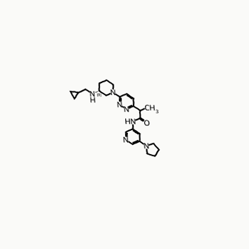 CC(C(=O)Nc1cncc(N2CCCC2)c1)c1ccc(N2CCC[C@@H](NCC3CC3)C2)nn1